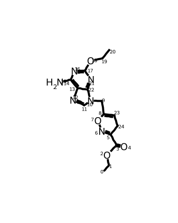 CCOC(=O)C1=NOC(Cn2cnc3c(N)nc(OCC)nc32)=CC1